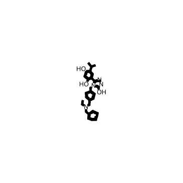 CCN(Cc1ccccc1)Cc1ccc(Cn2c(O)nnc2-c2cc(C(C)C)c(O)cc2O)cc1